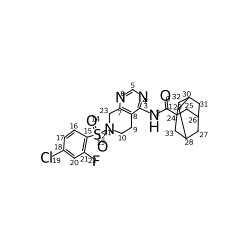 O=C(Nc1ncnc2c1CCN(S(=O)(=O)c1ccc(Cl)cc1F)C2)C12CC3CC(CC(C3)C1)C2